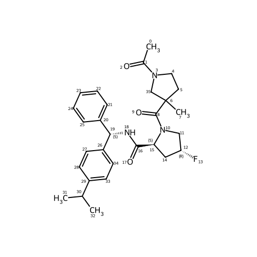 CC(=O)N1CCC(C)(C(=O)N2C[C@H](F)C[C@H]2C(=O)N[C@@H](c2ccccc2)c2ccc(C(C)C)cc2)C1